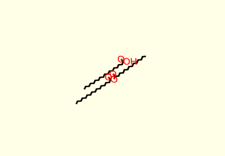 CCCCCCCCCCCCCCCC(=O)OC(=O)CCCCCCCCCCCCC.CCCCCCCCCCCCCCCCCC(=O)O